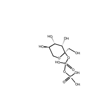 O=P(O)(O)OP(=O)(O)O[C@@]1(CO)OC[C@@H](O)[C@H](O)[C@@H]1O